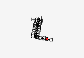 ClCCl.ClCCl.ClCCl.ClCCl.ClCCl.ClCCl.ClCCl.ClCCl.ClCCl.ClCCl.ClCCl.ClCCl.ClCCl.ClCCl.OCC(Cl)Cl